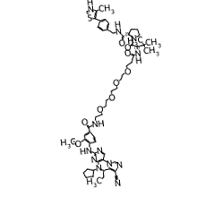 CCC1c2c(C#N)ncn2-c2cnc(Nc3ccc(C(=O)NCCOCCOCCOCCOCCC(=O)N[C@H](C(=O)N4CCC[C@H]4C(=O)NCc4ccc(C5=C(C)NCS5)cc4)C(C)(C)C)cc3OC)nc2N1C1CCCC1